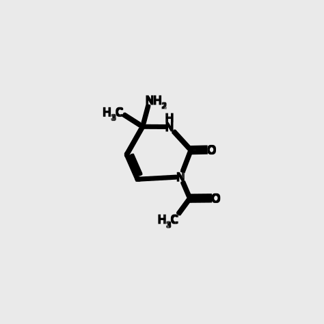 CC(=O)N1C=CC(C)(N)NC1=O